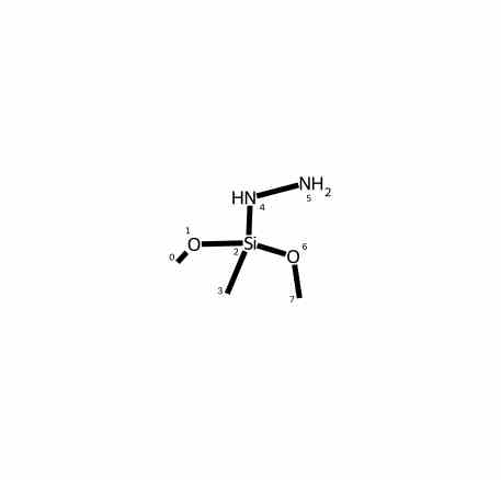 CO[Si](C)(NN)OC